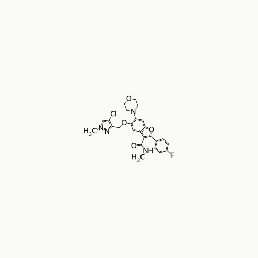 CNC(=O)c1c(-c2ccc(F)cc2)oc2cc(N3CCOCC3)c(OCc3nn(C)cc3Cl)cc12